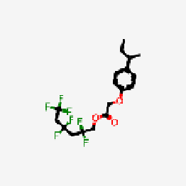 CCC(C)c1ccc(OCC(=O)OCC(F)(F)CC(F)(F)CC(F)(F)F)cc1